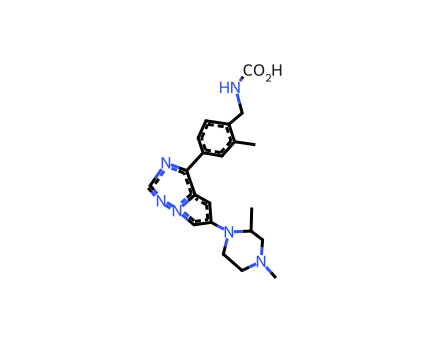 Cc1cc(-c2ncnn3cc(N4CCN(C)CC4C)cc23)ccc1CNC(=O)O